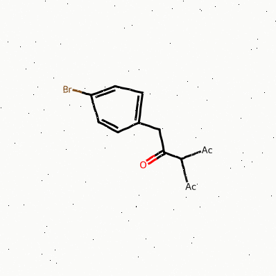 CC(=O)C(C(C)=O)C(=O)Cc1ccc(Br)cc1